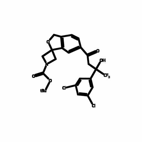 CC(C)(C)OC(=O)N1CC2(C1)OCc1ccc(C(=O)CC(O)(c3cc(Cl)cc(Cl)c3)C(F)(F)F)cc12